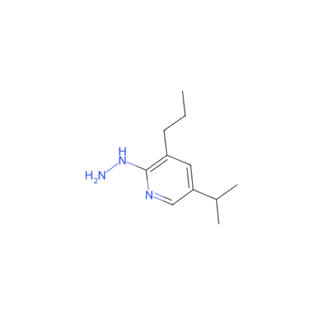 CCCc1cc(C(C)C)cnc1NN